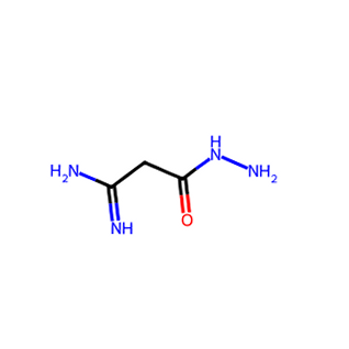 N=C(N)CC(=O)NN